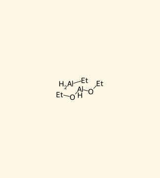 CC[O][AlH][O]CC.C[CH2][AlH2]